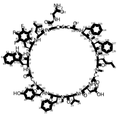 CCCC[C@H]1C(=O)N(C)CC(=O)N[C@@H](CC(=O)O)C(=O)N[C@@H](C(C)C)C(=O)N(C)[C@@H](Cc2ccccc2)C(=O)N[C@@H](Cc2ccc(O)cc2)C(=O)N(C)CC(=O)N[C@@H](Cc2c[nH]c3ccccc23)C(=O)N[C@@H](Cc2c(F)c(F)c(F)c(F)c2F)C(=O)N[C@@H](CC(C)C)C(=O)N[C@H](C(=O)NCC(N)=O)CSCC(=O)N[C@@H](Cc2ccccc2)C(=O)N(C)[C@@H](Cc2ccccc2)C(=O)N1C